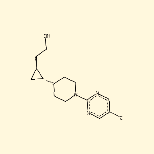 OCC[C@@H]1C[C@H]1C1CCN(c2ncc(Cl)cn2)CC1